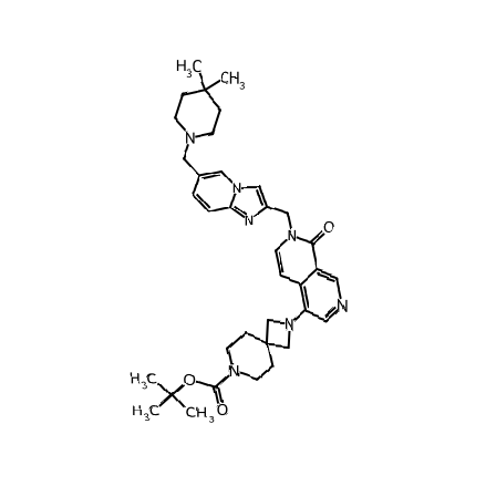 CC1(C)CCN(Cc2ccc3nc(Cn4ccc5c(N6CC7(CCN(C(=O)OC(C)(C)C)CC7)C6)cncc5c4=O)cn3c2)CC1